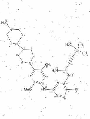 COc1cc(N2CCC(N3CCN(C)CC3)CC2)c(C)cc1Nc1ncc(Br)c(NC(N)C#C[Si](C)(C)C)n1